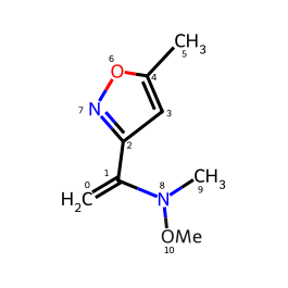 C=C(c1cc(C)on1)N(C)OC